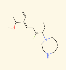 C=C/C(=C\C/C(F)=C(\CC)N1CCCCNCC1)C(C)OC